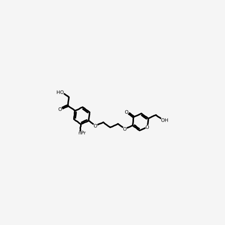 CCCc1cc(C(=O)CO)ccc1OCCCOc1coc(CO)cc1=O